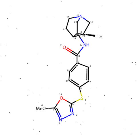 COc1nnc(Sc2ccc(C(=O)N[C@H]3CN4CCC3CC4)cc2)o1